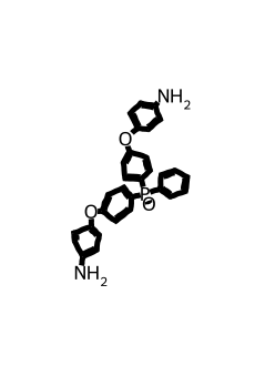 Nc1ccc(Oc2ccc(P(=O)(c3ccccc3)c3ccc(Oc4ccc(N)cc4)cc3)cc2)cc1